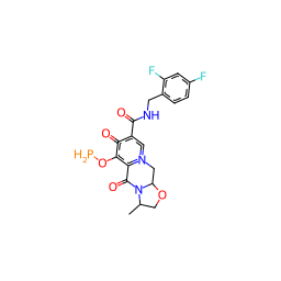 CC1COC2Cn3cc(C(=O)NCc4ccc(F)cc4F)c(=O)c(OP)c3C(=O)N12